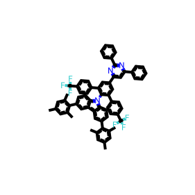 Cc1cc(C)c(-c2ccc3c(c2)c2cc(-c4c(C)cc(C)cc4C)ccc2n3-c2c(-c3ccc(C(F)(F)F)cc3)cc(-c3cc(-c4ccccc4)nc(-c4ccccc4)n3)cc2-c2ccc(C(F)(F)F)cc2)c(C)c1